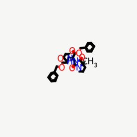 C[C@@]1(C(=O)N[C@@H](CCC(=O)OCc2ccccc2)C(=O)OCc2ccccc2)CCCN1C(=O)CN1CCCC1